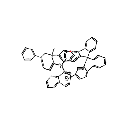 CC1(c2ccccc2)CC(c2ccccc2)=CC=C1N(c1ccc2c(c1)C1(c3ccccc3-c3ccc(Br)cc31)c1ccccc1-2)c1cccc2ccccc12